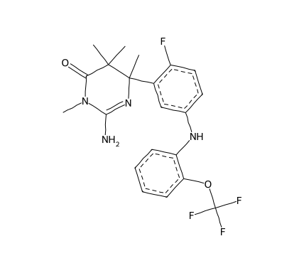 CN1C(=O)C(C)(C)C(C)(c2cc(Nc3ccccc3OC(F)(F)F)ccc2F)N=C1N